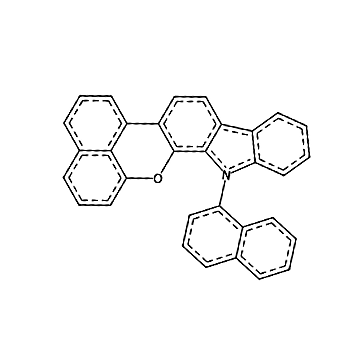 c1ccc2c(-n3c4ccccc4c4ccc5c(c43)Oc3cccc4cccc-5c34)cccc2c1